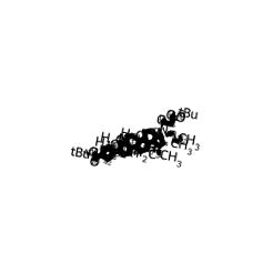 C=C(C)[C@@H]1CC[C@]2(CN(CCN(C)C)C(=O)CC(=O)OC(C)(C)C)CC[C@]3(C)[C@H](CC[C@@H]4[C@@]5(C)CC=C(c6ccc(C(=O)OC(C)(C)C)cc6)C(C)(C)[C@@H]5CC[C@]43C)[C@@H]12